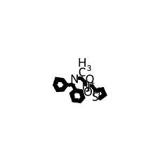 CC1N=C(c2ccccc2)c2ccccc2[N+](O)(Cc2cccs2)C1=O